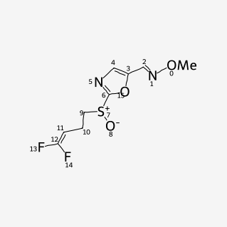 CON=Cc1cnc([S+]([O-])CCC=C(F)F)o1